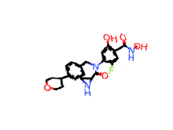 O=C(NO)c1cc(F)c(N(Cc2ccc(C3CCOCC3)cc2)C(=O)C2CN2)cc1O